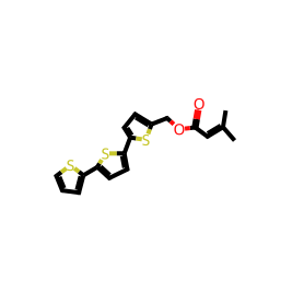 CC(C)=CC(=O)OCc1ccc(-c2ccc(-c3cccs3)s2)s1